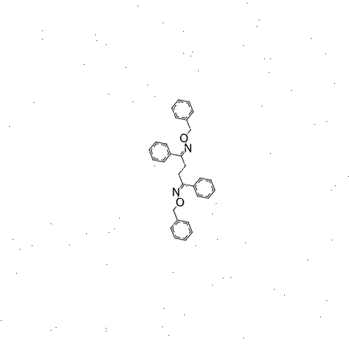 c1ccc(CO/N=C(/CC/C(=N/OCc2ccccc2)c2ccccc2)c2ccccc2)cc1